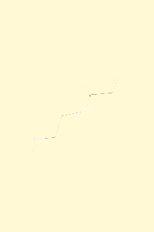 C=CC(=O)NCCNCC.Cl